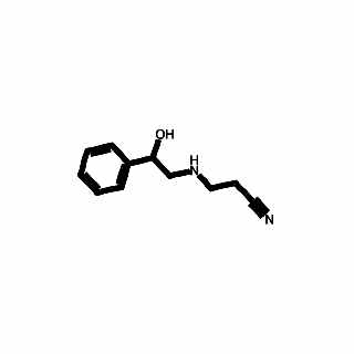 N#CCCNCC(O)c1ccccc1